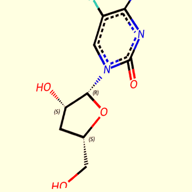 Nc1nc(=O)n([C@@H]2O[C@H](CO)C[C@@H]2O)cc1F